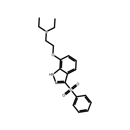 CCN(CC)CCOc1cccc2c(S(=O)(=O)c3ccccc3)n[nH]c12